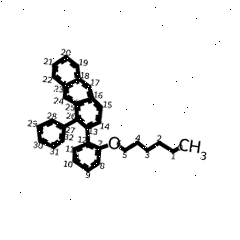 CCCCCCOc1ccccc1-c1ccc2cc3ccccc3cc2c1-c1ccccc1